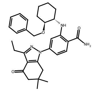 CCc1nn(-c2ccc(C(N)=O)c(N[C@H]3CCCC[C@@H]3OCc3ccccc3)c2)c2c1C(=O)CC(C)(C)C2